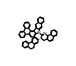 c1ccc2c(c1)CCc1cc([C@H]3Cc4ccc5ccccc5c4N=C3n3c4cc5ccccc5cc4c4c5c6ccccc6c6ccccc6c5ccc43)ccc1-2